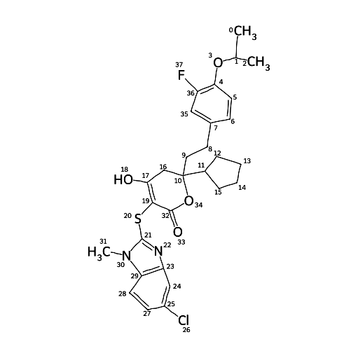 CC(C)Oc1ccc(CCC2(C3CCCC3)CC(O)=C(Sc3nc4cc(Cl)ccc4n3C)C(=O)O2)cc1F